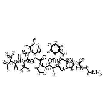 CC[C@H](C)[C@@H]([C@@H](CC(=O)N1CCC[C@H]1[C@H](OC)[C@@H](C)C(=O)N[C@@H](Cc1ccccc1)c1nc(C(=O)NCCN)cs1)OC)N(C)C(=O)[C@@H](NC(=O)C(C(C)C)N(C)C)C(C)C